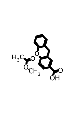 COC(C)=O.O=C(O)c1ccc2c(c1)Cc1ccccc1O2